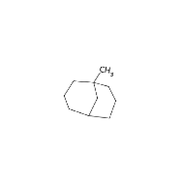 CC12CCCC(CCC1)C2